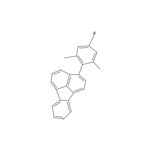 Cc1cc(F)cc(C)c1-c1ccc2c3c(cccc13)-c1ccccc1-2